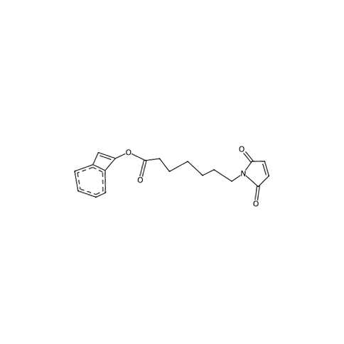 O=C(CCCCCCN1C(=O)C=CC1=O)OC1=Cc2ccccc21